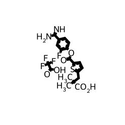 CC(C)(Cc1ccc(C(=O)Oc2ccc(C(=N)N)cc2F)s1)C(=O)O.O=C(O)C(F)(F)F